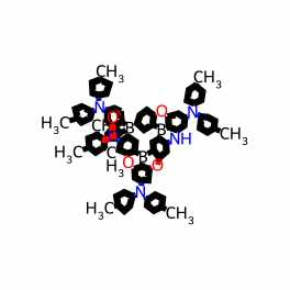 Cc1ccc(N(c2ccc(C)cc2)c2cc3c4c(c2)Oc2ccccc2B4c2cc4c(cc2N3)Oc2cc(N(c3ccc(C)cc3)c3ccc(C)cc3)cc3c2B4c2cc4c(cc2O3)N(c2c(C)cc(C)cc2C)c2cc(N(c3ccc(C)cc3)c3ccc(C)cc3)cc3c2B4c2ccccc2O3)cc1